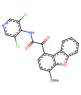 COc1ccc(C(=O)C(=O)Nc2c(Cl)cncc2Cl)c2c1oc1ccccc12